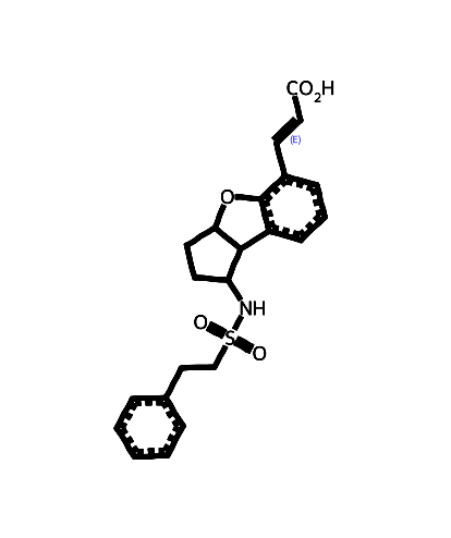 O=C(O)/C=C/c1cccc2c1OC1CCC(NS(=O)(=O)CCc3ccccc3)C21